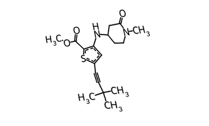 COC(=O)c1sc(C#CC(C)(C)C)cc1NC1CCN(C)C(=O)C1